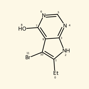 CCc1[nH]c2ncnc(O)c2c1Br